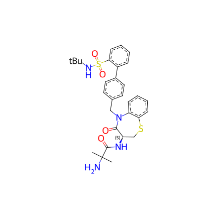 CC(C)(C)NS(=O)(=O)c1ccccc1-c1ccc(CN2C(=O)[C@H](NC(=O)C(C)(C)N)CSc3ccccc32)cc1